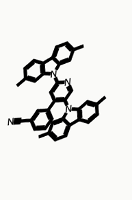 Cc1ccc2c3ccc(C)cc3n(-c3cc(-c4cccc(C#N)c4)c(-n4c5cc(C)ccc5c5ccc(C)cc54)cn3)c2c1